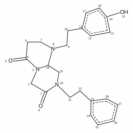 O=C1CN2C(=O)CCN(CCc3ccc(O)cc3)C2CN1CCc1ccccc1